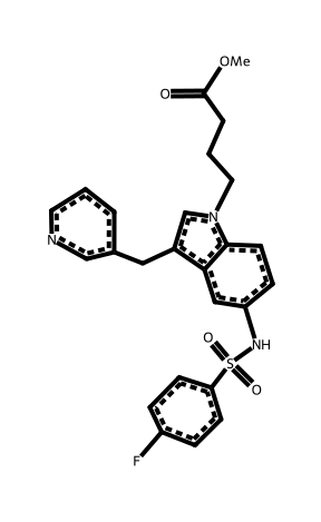 COC(=O)CCCn1cc(Cc2cccnc2)c2cc(NS(=O)(=O)c3ccc(F)cc3)ccc21